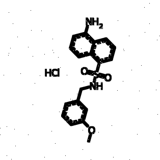 COc1cccc(CNS(=O)(=O)c2cccc3c(N)cccc23)c1.Cl